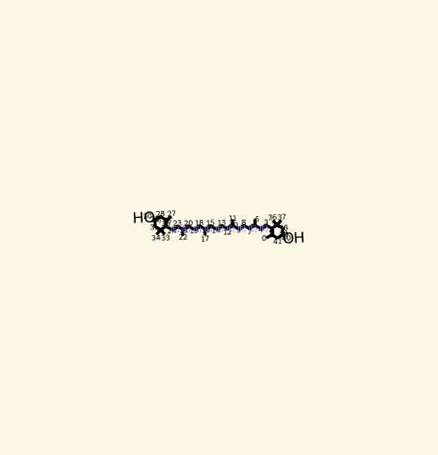 CC1=C(/C=C/C(C)=C/C=C/C(C)=C/C=C/C=C(C)/C=C/C=C(C)/C=C/C2C(C)C[C@@H](O)CC2(C)C)C(C)(C)C[C@H](O)C1